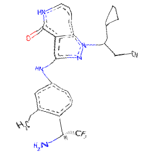 Cc1cc(Nc2nn(C(CC#N)C3CC3)c3cc[nH]c(=O)c23)ccc1[C@@H](N)C(F)(F)F